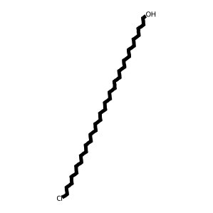 OCCCCCCCCCCCCCCCCCCCCCCCCCCCCCCCCCCCl